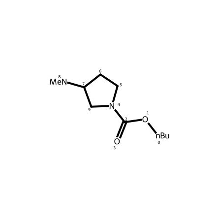 CCCCOC(=O)N1CCC(NC)C1